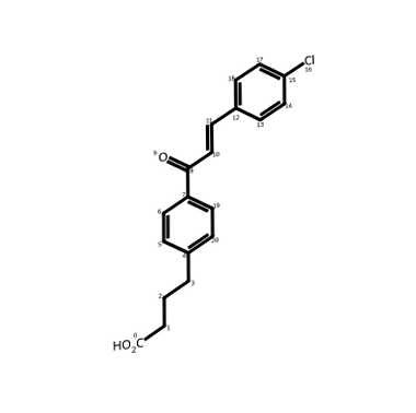 O=C(O)CCCc1ccc(C(=O)/C=C/c2ccc(Cl)cc2)cc1